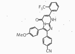 COc1ccc(-c2c(-c3ccc(C#N)cc3)nc3[nH]c(-c4ccccc4C(F)(F)F)cc(=O)n23)cc1